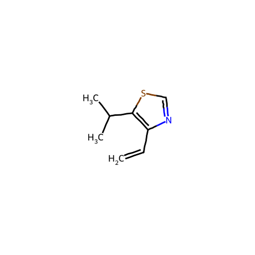 C=Cc1ncsc1C(C)C